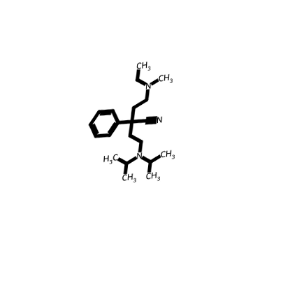 CCN(C)CCC(C#N)(CCN(C(C)C)C(C)C)c1ccccc1